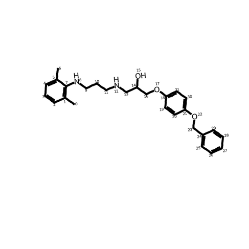 Cc1cccc(C)c1NCCCNCC(O)COc1ccc(OCc2ccccc2)cc1